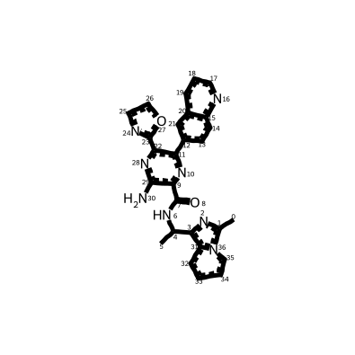 Cc1nc(C(C)NC(=O)c2nc(-c3ccc4ncccc4c3)c(-c3ncco3)nc2N)c2ccccn12